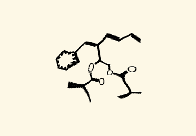 C=CC=CC(=Cc1ccccc1)C(COC(=O)C(=C)C)OC(=O)C(=C)C